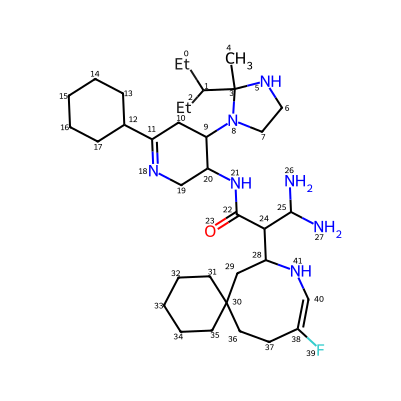 CCC(CC)C1(C)NCCN1C1CC(C2CCCCC2)=NCC1NC(=O)C(C(N)N)C1CC2(CCCCC2)CC/C(F)=C\N1